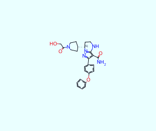 NC(=O)c1c(-c2ccc(Oc3ccccc3)cc2)nn2c1NCC[C@H]2C1CCN(C(=O)CO)CC1